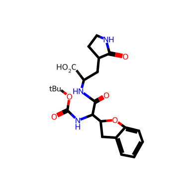 CC(C)(C)OC(=O)NC(C(=O)NC(CC1CCNC1=O)C(=O)O)C1Cc2ccccc2O1